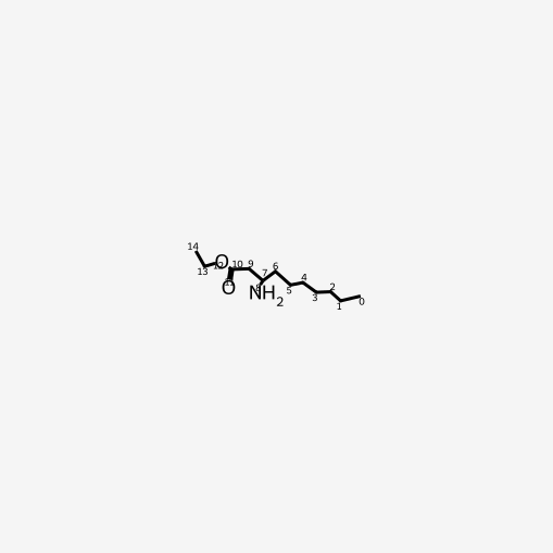 CCCCCCCC(N)CC(=O)OCC